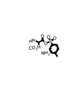 CCCC(C(=O)O)C(=O)OS(=O)(=O)c1ccc(C)cc1.N